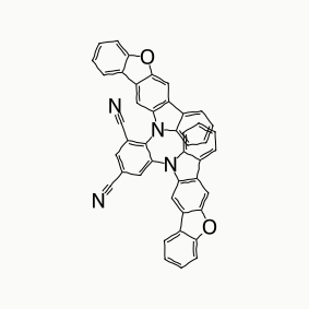 N#Cc1cc(C#N)c(-n2c3ccccc3c3cc4oc5ccccc5c4cc32)c(-n2c3ccccc3c3cc4oc5ccccc5c4cc32)c1